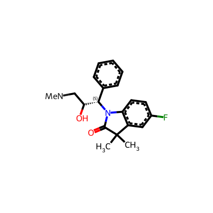 CNCC(O)[C@H](c1ccccc1)N1C(=O)C(C)(C)c2cc(F)ccc21